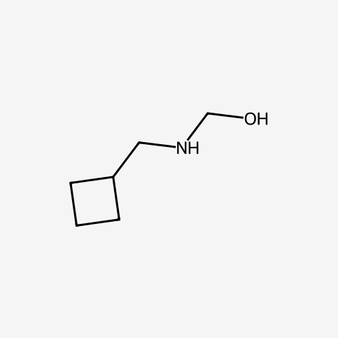 OCNCC1CCC1